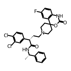 C[C@H](NC(=O)[C@@H](CCN1CCC2(CC1)OC(=O)Nc1ccc(F)cc12)c1ccc(Cl)c(Cl)c1)c1ccccc1